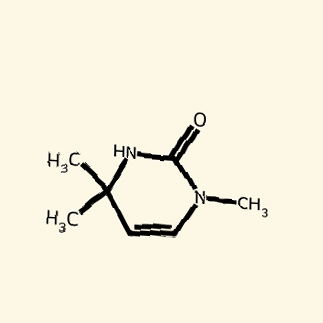 CN1C=CC(C)(C)NC1=O